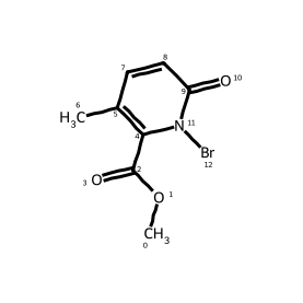 COC(=O)c1c(C)ccc(=O)n1Br